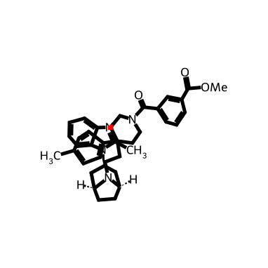 COC(=O)c1cccc(C(=O)N2CCC(CCN3[C@@H]4CC[C@H]3C[C@@H](n3c(C)nc5ccccc53)C4)(c3ccc(C)cc3)CC2)c1